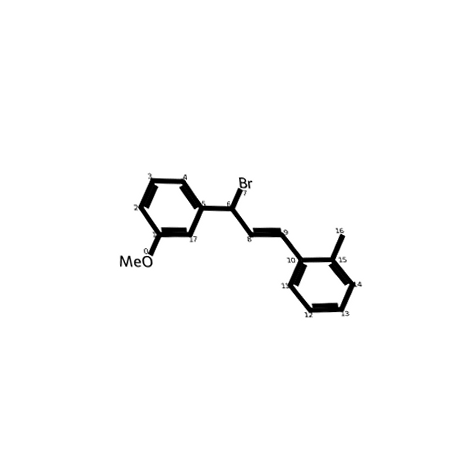 COc1cccc(C(Br)C=Cc2ccccc2C)c1